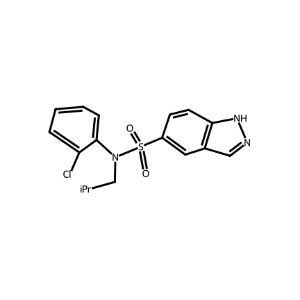 CC(C)CN(c1ccccc1Cl)S(=O)(=O)c1ccc2[nH]ncc2c1